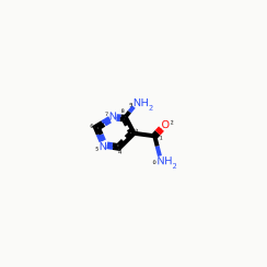 NC(=O)c1cncnc1N